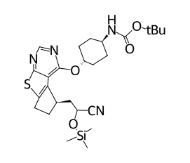 CC(C)(C)OC(=O)N[C@H]1CC[C@H](Oc2ncnc3sc4c(c23)[C@@H](CC(C#N)O[Si](C)(C)C)CC4)CC1